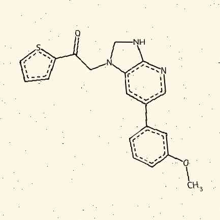 COc1cccc(-c2cnc3c(c2)N(CC(=O)c2cccs2)CN3)c1